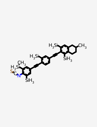 C[SiH2]c1cc(C#Cc2ccc(C#Cc3c([SiH3])cc4c(c3[SiH3])CCC(C)C4)cc2[SiH3])cc([SiH3])c1N=C=S